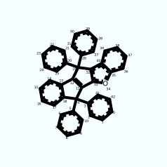 c1ccc(C2(c3ccccc3)C3=C(c4ccccc42)C(c2ccccc2)(c2ccccc2)c2c3oc3ccccc23)cc1